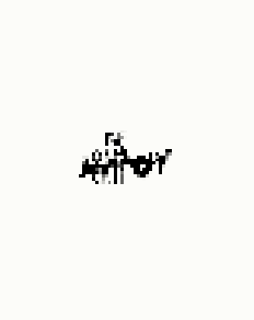 O=C(CC(O)C1(C(F)(F)F)CC1)N[C@@H](COC(F)F)c1cccc(OC(F)F)c1